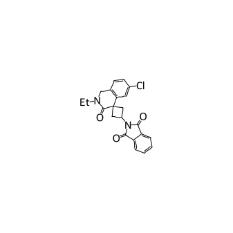 CCN1Cc2ccc(Cl)cc2C2(CC(N3C(=O)c4ccccc4C3=O)C2)C1=O